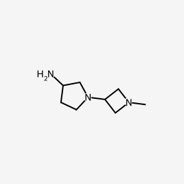 CN1CC(N2CCC(N)C2)C1